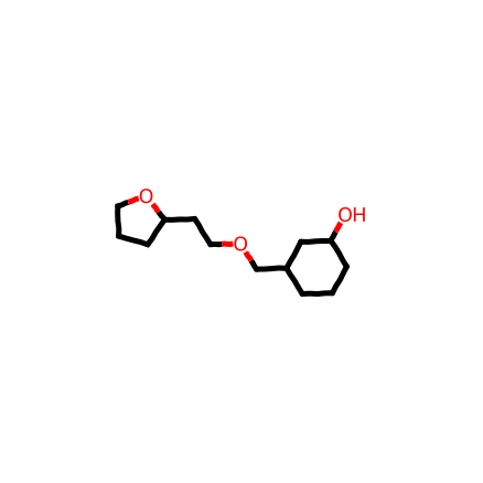 OC1CCCC(COCCC2CCCO2)C1